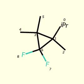 CC(C)C1(C)C(C)(C)C1(F)F